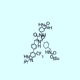 CC(C)c1nc2cc(C(F)(F)F)c(-c3ccc(C[C@H](NC(=O)[C@H]4CC[C@H](CNC(=O)OC(C)(C)C)CC4)C(=O)Nc4ccc5[nH]c(=O)[nH]c5c4)cc3)cc2[nH]1